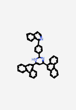 C1=C(c2cc3ccccc3c3ccccc23)NC(c2ccc(-c3nccc4ccccc34)cc2)N=C1c1cc2ccccc2c2ccccc12